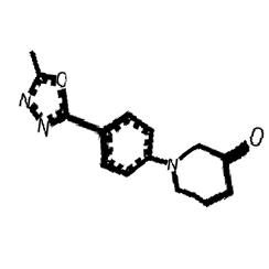 Cc1nnc(-c2ccc(N3CCCC(=O)C3)cc2)o1